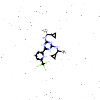 CC(Nc1nc(N[C@H](C)C2CC2)nc(-c2cccc(C(F)(F)F)n2)n1)C1CC1